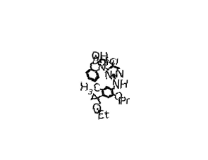 CCOCC1(c2cc(OC(C)C)c(Nc3ncc(Cl)c(Nc4ccccc4CB(O)O)n3)cc2C)CC1